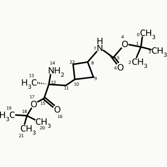 CC(C)(C)OC(=O)NC1CC(C[C@](C)(N)C(=O)OC(C)(C)C)C1